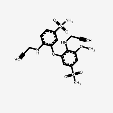 C#CCNc1ccc(S(N)(=O)=O)cc1Oc1cc(S(C)(=O)=O)cc(OC)c1NCC#C